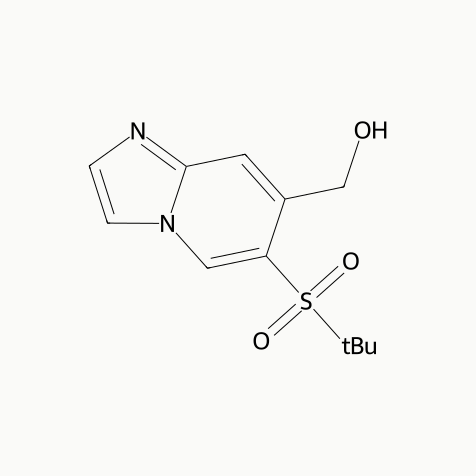 CC(C)(C)S(=O)(=O)c1cn2ccnc2cc1CO